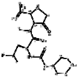 CC(C)C(C)C[C@H](NC(=O)ON1CCOCC1)C(=O)N(C)C1C(=O)COC1C(N)=O